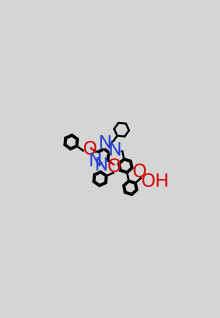 O=C(O)c1ccccc1-c1ccc(Cn2c(C3CCCCC3)nc3c(OCc4ccccc4)nnc(OCc4ccccc4)c32)cc1